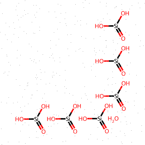 O.O=[Si](O)O.O=[Si](O)O.O=[Si](O)O.O=[Si](O)O.O=[Si](O)O.O=[Si](O)O